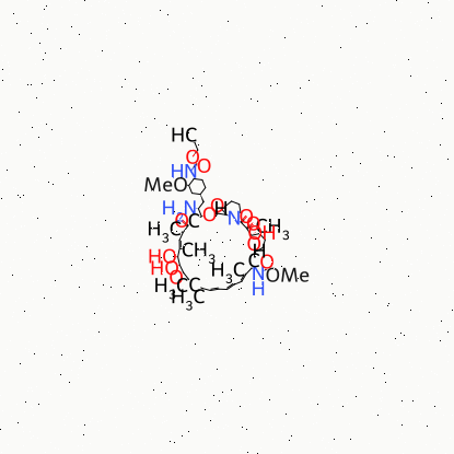 C#CCOC(=O)N[C@H]1CC[C@@H](C[C@@H](N)[C@@H]2CC(=O)[C@H](C)/C=C(\C)[C@@H](O)[C@@H](O)C(=O)[C@H](C)C[C@H](C)/C=C/C=C/C=C(\C)C(NC(=O)OC)C[C@@H]3CC[C@@H](C)[C@@](O)(O3)C(=O)C(=O)N3CCCC[C@H]3C(=O)O2)C[C@H]1OC